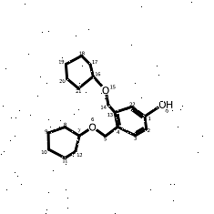 Oc1ccc(COC2CCCCC2)c(COC2CCCCC2)c1